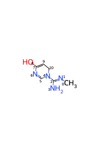 CN=C(N)N1C=NC(O)=CC1